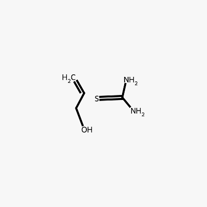 C=CCO.NC(N)=S